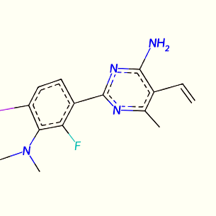 C=Cc1c(C)nc(-c2ccc(I)c(N(C)C)c2F)nc1N